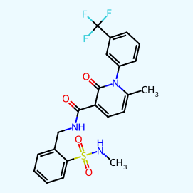 CNS(=O)(=O)c1ccccc1CNC(=O)c1ccc(C)n(-c2cccc(C(F)(F)F)c2)c1=O